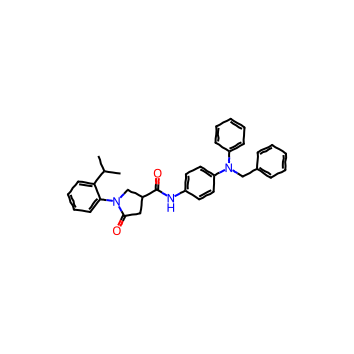 CC(C)c1ccccc1N1CC(C(=O)Nc2ccc(N(Cc3ccccc3)c3ccccc3)cc2)CC1=O